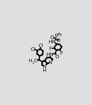 C=C(c1ccc(Cl)c(Cl)c1)c1c[nH]c2ncc(NC(=O)c3c(F)ccc(NS(=O)(=O)CCC)c3F)cc12